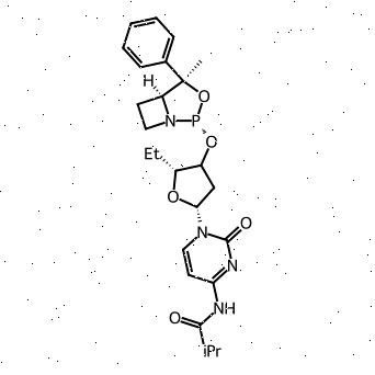 CC[C@H]1O[C@@H](n2ccc(NC(=O)C(C)C)nc2=O)CC1O[P@@]1O[C@](C)(c2ccccc2)[C@@H]2CCN21